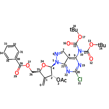 C=C1[C@@H](OC(C)=O)[C@H](n2ncc3c(N(C(=O)OC(C)(C)C)C(=O)OC(C)(C)C)nc(Cl)nc32)O[C@@H]1COC(=O)c1ccccc1